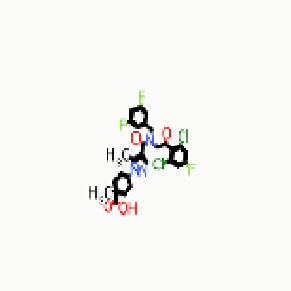 Cc1c(C(=O)N(CC(=O)c2c(Cl)cc(F)cc2Cl)Cc2cc(F)cc(F)c2)cnn1[C@H]1CC[C@](C)(C(=O)O)CC1